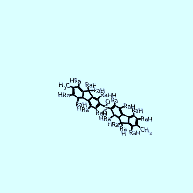 Cc1[c]([RaH])[c]([RaH])c2c([c]1[RaH])[C]([RaH])([RaH])c1[c]([RaH])c(S(=O)(=O)c3[c]([RaH])[c]([RaH])c4c([c]3[RaH])[C]([RaH])([RaH])c3[c]([RaH])c(C)[c]([RaH])[c]([RaH])c3-4)[c]([RaH])[c]([RaH])c1-2